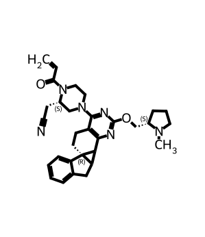 C=CC(=O)N1CCN(c2nc(OC[C@@H]3CCCN3C)nc3c2CC[C@@]24c5ccccc5CC2C34)C[C@@H]1CC#N